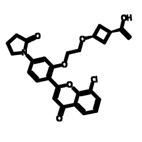 C=C(O)[C@H]1C[C@@H](OCCOc2cc(N3CCCC3=O)ccc2-c2cc(=O)c3cccc(Cl)c3o2)C1